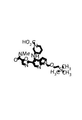 CNC(=O)c1cnc(-c2cnc3c(ccn3COCC[Si](C)(C)C)c2N[C@@H]2CCCN(C(=O)O)C2)o1